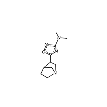 CN(C)c1noc(C2CN3CCC2C3)n1